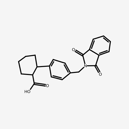 O=C(O)C1CCCCC1c1ccc(CN2C(=O)c3ccccc3C2=O)cc1